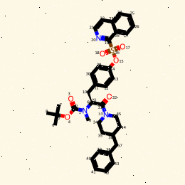 CN(C(=O)OC(C)(C)C)[C@@H](Cc1ccc(OS(=O)(=O)c2nccc3ccccc23)cc1)C(=O)N1CCC(Cc2ccccc2)CC1